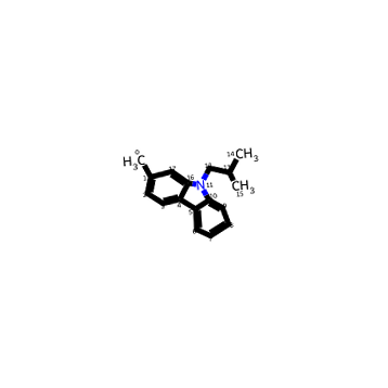 Cc1ccc2c3ccccc3n(CC(C)C)c2c1